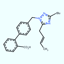 CC=CCc1nc(C(C)(C)C)nn1Cc1ccc(-c2ccccc2C(=O)O)cc1